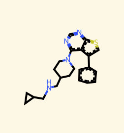 c1ccc(-c2csc3ncnc(N4CCC(CNCC5CC5)CC4)c23)cc1